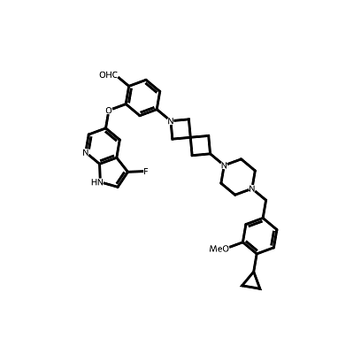 COc1cc(CN2CCN(C3CC4(C3)CN(c3ccc(C=O)c(Oc5cnc6[nH]cc(F)c6c5)c3)C4)CC2)ccc1C1CC1